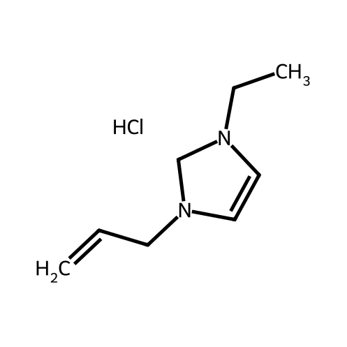 C=CCN1C=CN(CC)C1.Cl